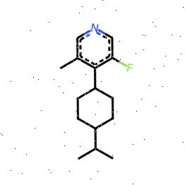 Cc1cncc(F)c1C1CCC(C(C)C)CC1